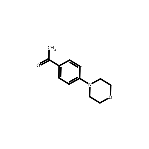 CC(=O)c1c[c]c(N2CCOCC2)cc1